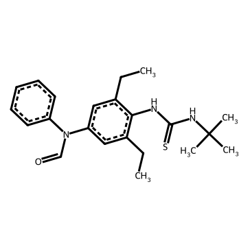 CCc1cc(N(C=O)c2ccccc2)cc(CC)c1NC(=S)NC(C)(C)C